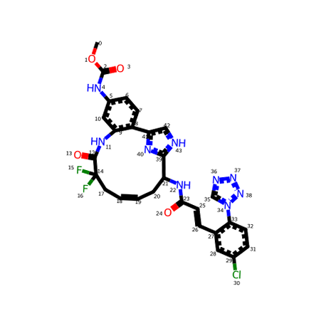 COC(=O)Nc1ccc2c(c1)NC(=O)C(F)(F)CC=CCC(NC(=O)C=Cc1cc(Cl)ccc1-n1cnnn1)c1nc-2c[nH]1